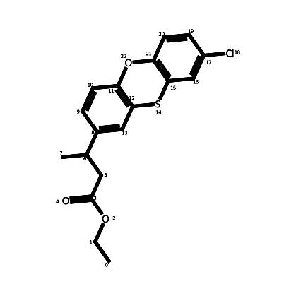 CCOC(=O)CC(C)c1ccc2c(c1)Sc1cc(Cl)ccc1O2